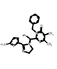 Cc1ccc(C2=NCCN2C(c2nc(C)c(C)c(=O)n2Cc2ccccc2)C(C)C)s1